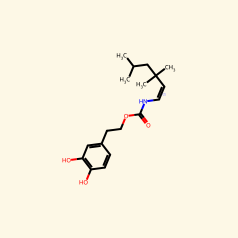 CC(C)CC(C)(C)/C=C\NC(=O)OCCc1ccc(O)c(O)c1